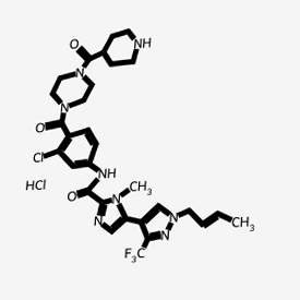 CC=CCn1cc(-c2cnc(C(=O)Nc3ccc(C(=O)N4CCN(C(=O)C5CCNCC5)CC4)c(Cl)c3)n2C)c(C(F)(F)F)n1.Cl